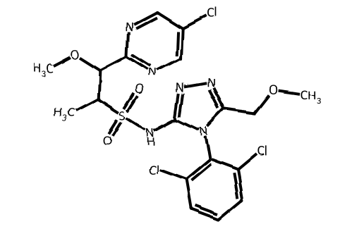 COCc1nnc(NS(=O)(=O)C(C)C(OC)c2ncc(Cl)cn2)n1-c1c(Cl)cccc1Cl